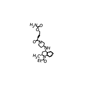 CCC(=O)N1c2ccccc2[C@H](NC2CCN(C(=O)C#CCOC(N)=O)CC2)C[C@@H]1C